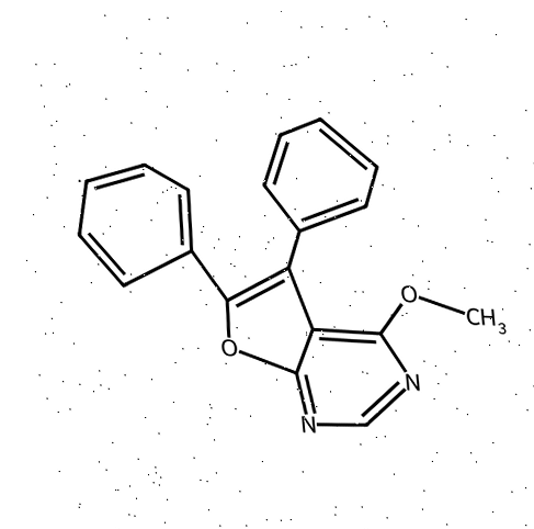 COc1ncnc2oc(-c3cc[c]cc3)c(-c3ccccc3)c12